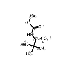 CSC(C)(C)[C@H](NC(=O)OC(C)(C)C)C(=O)O